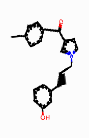 Cc1ccc(C(=O)c2ccn(C/C=C/c3cccc(O)c3)c2)cc1